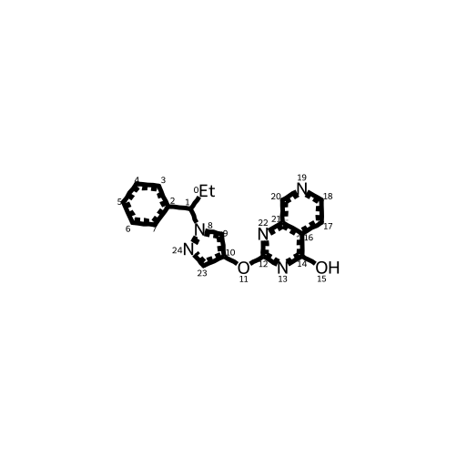 CCC(c1ccccc1)n1cc(Oc2nc(O)c3ccncc3n2)cn1